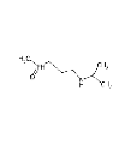 CC(C)NCCC[PH](C)=O